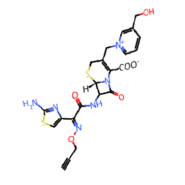 C#CCON=C(C(=O)NC1C(=O)N2C(C(=O)[O-])=C(C[n+]3cccc(CO)c3)CS[C@@H]12)c1csc(N)n1